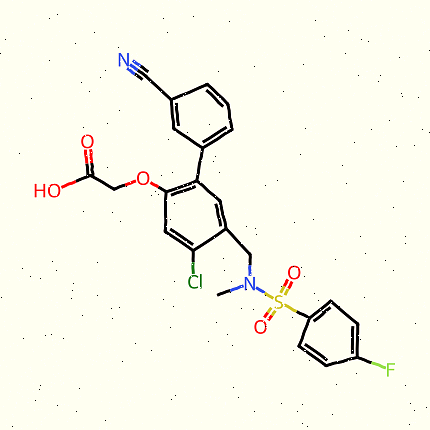 CN(Cc1cc(-c2cccc(C#N)c2)c(OCC(=O)O)cc1Cl)S(=O)(=O)c1ccc(F)cc1